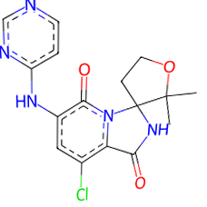 CC1(C)OCCC12NC(=O)c1c(Cl)cc(Nc3ccncn3)c(=O)n12